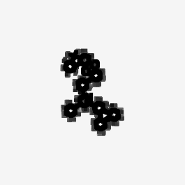 CC1(C)c2ccccc2-c2c1ccc1c2Oc2c(cccc2-c2cccc(-c3cc(-c4ccccc4)cc(-c4ccc5c6ccccc6c6ccccc6c5c4)n3)c2)O1